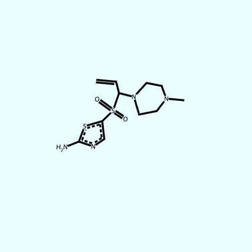 C=CC(N1CCN(C)CC1)S(=O)(=O)c1cnc(N)s1